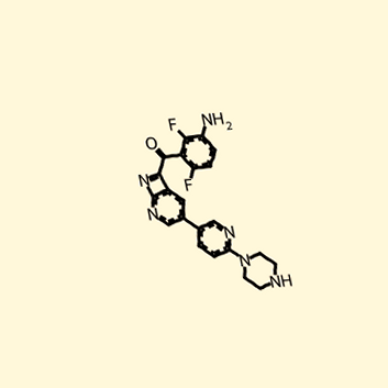 Nc1ccc(F)c(C(=O)C2=Nc3ncc(-c4ccc(N5CCNCC5)nc4)cc32)c1F